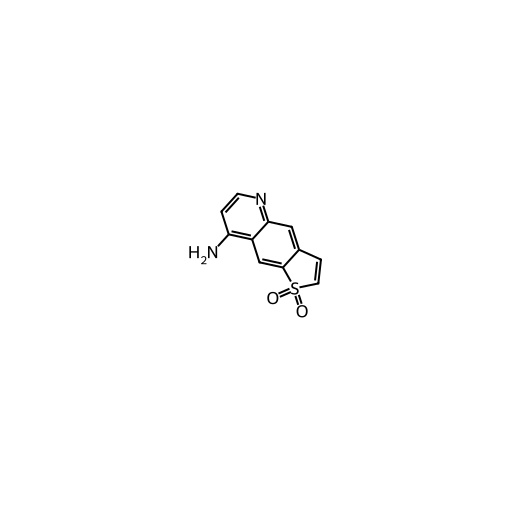 Nc1ccnc2cc3c(cc12)S(=O)(=O)C=C3